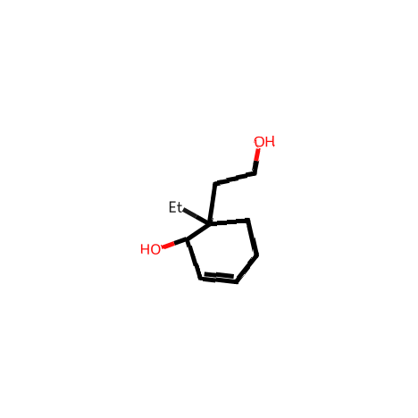 CCC1(CCO)CCC=CC1O